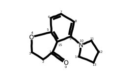 O=C1CCOc2cccc(N3CCCC3)c21